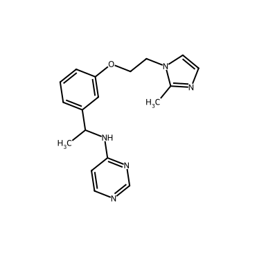 Cc1nccn1CCOc1cccc(C(C)Nc2ccncn2)c1